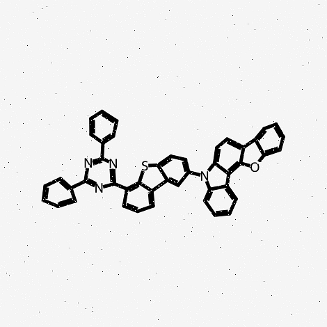 c1ccc(-c2nc(-c3ccccc3)nc(-c3cccc4c3sc3ccc(-n5c6ccccc6c6c7oc8ccccc8c7ccc65)cc34)n2)cc1